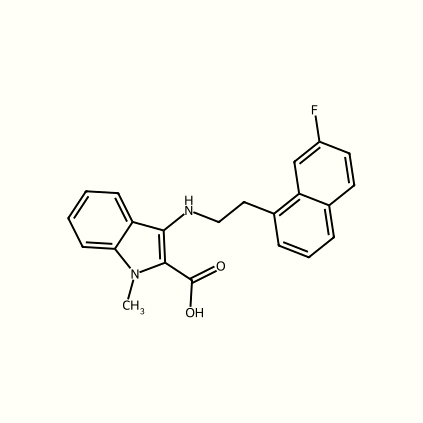 Cn1c(C(=O)O)c(NCCc2cccc3ccc(F)cc23)c2ccccc21